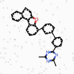 Cc1nc(C)nc(-c2cccc(-c3cccc(-c4cccc5c4oc4ccc6ccccc6c45)c3)c2)n1